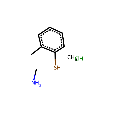 C.CN.Cc1ccccc1S.Cl